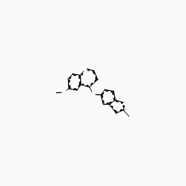 COc1ccc2nccc(Oc3ccc4[nH]c(C)cc4c3)c2c1